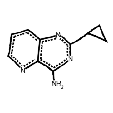 Nc1nc(C2CC2)nc2cccnc12